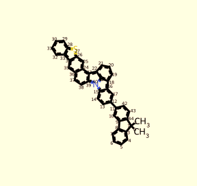 CC1(C)c2ccccc2-c2cc(-c3ccc4c(c3)c3cccc5c6c7cc8sc9ccccc9c8cc7ccc6n4c35)ccc21